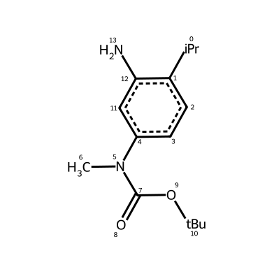 CC(C)c1ccc(N(C)C(=O)OC(C)(C)C)cc1N